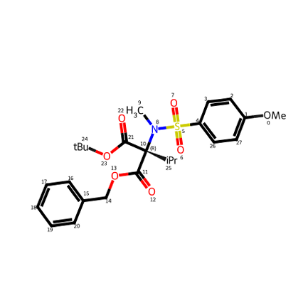 COc1ccc(S(=O)(=O)N(C)[C@](C(=O)OCc2ccccc2)(C(=O)OC(C)(C)C)C(C)C)cc1